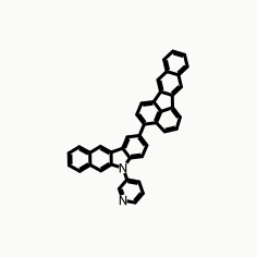 c1cncc(-n2c3ccc(-c4ccc5c6c(cccc46)-c4cc6ccccc6cc4-5)cc3c3cc4ccccc4cc32)c1